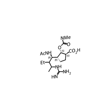 CCC(C(C)NC(=N)N)[C@@H](NC(C)=O)[C@H]1CC[C@H](C(=O)O)[C@H]1OC(=O)NC